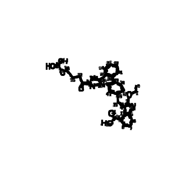 CCOc1nc2cccc(C(=O)O)c2n1Cc1ccc(-c2ccccc2-c2nnn(C(=O)CCCON(O)O)n2)cc1